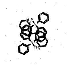 P[N+](c1ccccc1)(c1ccccc1)c1ccc2c(c1-c1c([N+](P)(c3ccccc3)c3ccccc3)ccc3c1CCCC3)CCCC2